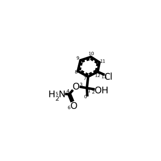 CC(O)(OC(N)=O)c1ccccc1Cl